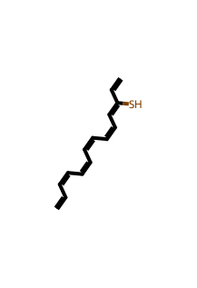 C=C\C=C/C=C\C=C/C=C\C=C(/S)C=C